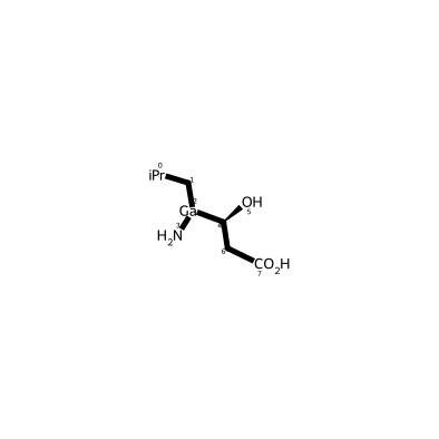 CC(C)[CH2][Ga]([NH2])[C@@H](O)CC(=O)O